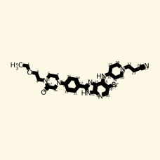 CCOCCN1CCN(c2ccc(-c3nc4c(NC5CCN(CCC#N)CC5)c(Br)cnc4[nH]3)cc2)CC1=O